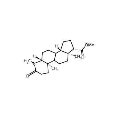 COC(=O)[C@H]1CC[C@H]2C3CC[C@H]4N(C)C(=O)CC[C@]4(C)C3CC[C@]12C